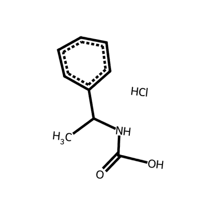 CC(NC(=O)O)c1ccccc1.Cl